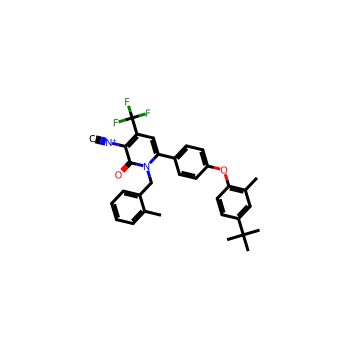 [C-]#[N+]c1c(C(F)(F)F)cc(-c2ccc(Oc3ccc(C(C)(C)C)cc3C)cc2)n(Cc2ccccc2C)c1=O